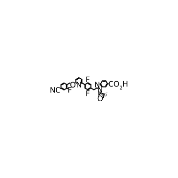 C[C@@H]1COC[C@H]1n1c(Cc2cc(F)c(-c3cccc(OCc4ccc(C#N)cc4F)n3)cc2F)nc2ccc(C(=O)O)cc21